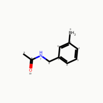 Bc1cccc(CNC(C)=O)c1